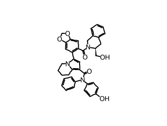 O=C(c1cc(-c2cc3c(cc2C(=O)N2Cc4ccccc4C[C@H]2CO)OCO3)n2c1CCCC2)N(c1ccccc1)c1ccc(O)cc1